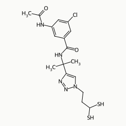 CC(=O)Nc1cc(Cl)cc(C(=O)NC(C)(C)c2cn(CCC(S)S)nn2)c1